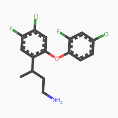 CC(CCN)c1cc(F)c(Cl)cc1Oc1ccc(Cl)cc1F